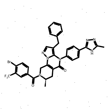 Cc1nnc(-c2ccc(-n3c(=O)c4c(n5ncc(Cc6ccccc6)c35)CN(C(=O)c3ccc(Br)c(C(F)(F)F)c3)[C@H](C)C4)cc2)[nH]1